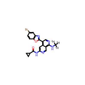 [2H]C([2H])([2H])Nc1ncc(-c2nc3cc(Br)ccc3o2)c2cc(NC(=O)C3CC3)ncc12